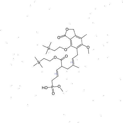 COc1c(C)c2c(c(OCC[Si](C)(C)C)c1C/C=C(\C)CC(/C=C/CP(=O)(O)OC)C(=O)OCC[Si](C)(C)C)C(=O)OC2